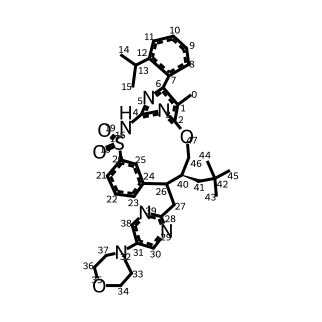 Cc1c2nc(nc1-c1ccccc1C(C)C)NS(=O)(=O)c1cccc(c1)C(Cc1ncc(N3CCOCC3)cn1)[C@H](CC(C)(C)C)CO2